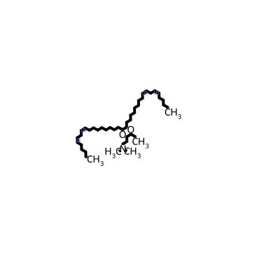 CCCCC/C=C\C/C=C\CCCCCCCCC1OC(CC)C(CCN(C)C)OC1CCCCCCCC/C=C\C/C=C\CCCCC